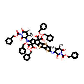 CC1=C(C#N)C(=O)N(C(=O)OCc2ccccc2)C(=O)/C1=N/C1=CC2=C(c3sc4c(sc5cc(/N=C6/C(=O)N(C(=O)OCc7ccccc7)C(=O)C(C#N)=C6C)sc54)c3C2(C(=O)OCc2ccccc2)C(=O)OCc2ccccc2)C1(C(=O)OCc1ccccc1)C(=O)OCc1ccccc1